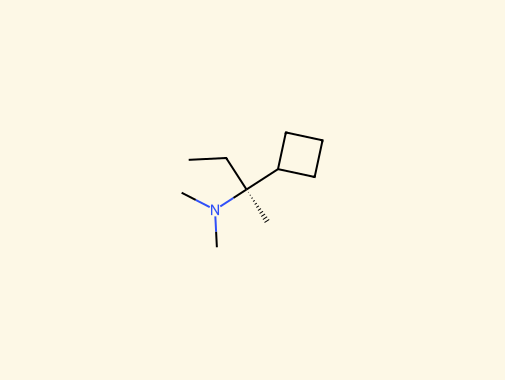 CC[C@@](C)(C1CCC1)N(C)C